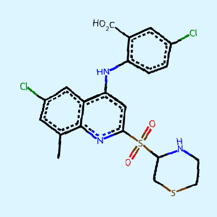 Cc1cc(Cl)cc2c(Nc3ccc(Cl)cc3C(=O)O)cc(S(=O)(=O)C3CSCCN3)nc12